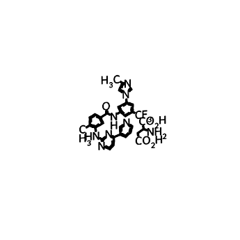 Cc1cn(-c2cc(NC(=O)c3ccc(C)c(Nc4nccc(-c5cccnc5)n4)c3)cc(C(F)(F)F)c2)cn1.NC(CC(=O)O)C(=O)O